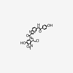 Cc1nc2c3c(cc(O)c2o1)N(C(=O)c1cn2cc(NC(=O)c4ccc(O)cc4)ccc2n1)CC3CCl